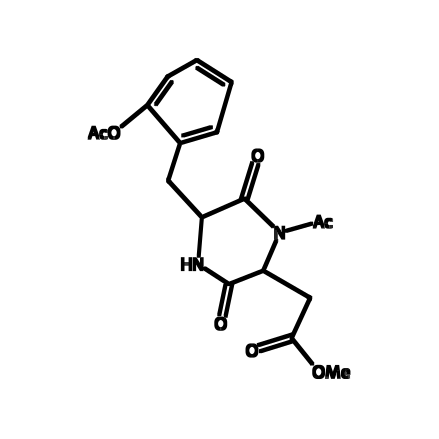 COC(=O)CC1C(=O)NC(Cc2ccccc2OC(C)=O)C(=O)N1C(C)=O